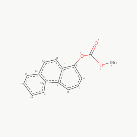 CC(C)(C)OC(=O)Oc1cccc2c1ccc1ccccc12